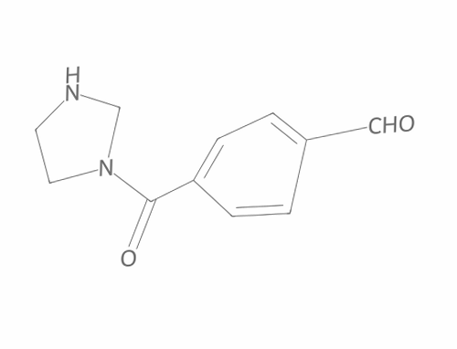 O=Cc1ccc(C(=O)N2CCNC2)cc1